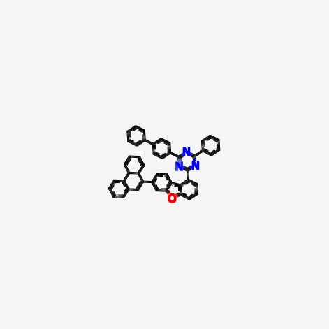 C1=CC2C(c3ccc4c(c3)oc3cccc(-c5nc(-c6ccccc6)nc(-c6ccc(-c7ccccc7)cc6)n5)c34)=Cc3ccccc3C2C=C1